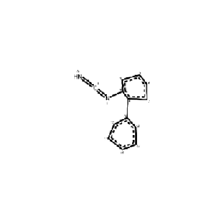 N=C=Nc1ccccc1-c1ccccc1